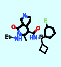 CCNn1c(C)c(C(=O)N[C@H](c2cccc(F)c2)C2CCC2)c2ccncc2c1=O